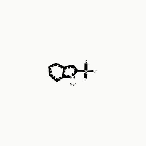 O=S([O-])(=S)c1cc2ccccc2[nH]1.[Na+]